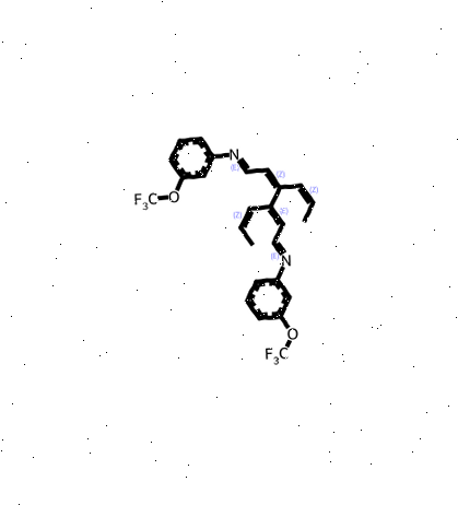 C\C=C/C(=C/C=N/c1cccc(OC(F)(F)F)c1)C(/C=C\C)=C/C=N/c1cccc(OC(F)(F)F)c1